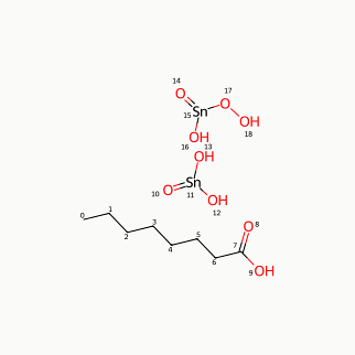 CCCCCCCC(=O)O.[O]=[Sn]([OH])[OH].[O]=[Sn]([OH])[O]O